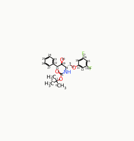 CC(C)(C)OC(=O)N[C@@H](COc1cc(F)cc(F)c1)C(=O)Cc1ccccc1